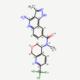 Cc1n[nH]c2c1c(N)nc1ccc(C(=O)N(C)[C@@H]3COCc4nc(C(F)(F)F)ccc43)cc12